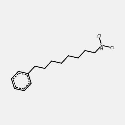 Cl[SiH](Cl)CCCCCCCCc1ccccc1